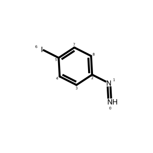 N=Nc1ccc(I)cc1